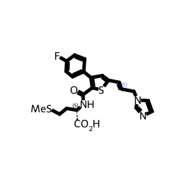 CSCC[C@H](NC(=O)c1sc(/C=C/Cn2ccnc2)cc1-c1ccc(F)cc1)C(=O)O